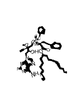 C#C[C@](COP(=O)(N[C@@H](Cc1ccccc1)C(=O)OC(CCCCCCC)CCCCCCC)Oc1ccccc1)(OC)[C@@H](O)Cn1cnc2c(N)nc(F)nc21